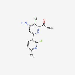 COC(=O)c1nc(-c2ccc(C(F)(F)F)nc2F)cc(N)c1Cl